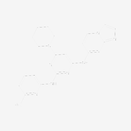 CC(C)(C)c1cccc(Nc2nc(Nc3ccn4ccnc4c3)cc(N3CCCCC3)n2)n1